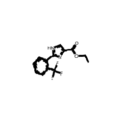 CCOC(=O)c1c[nH]c(-c2ccccc2C(F)(F)F)n1